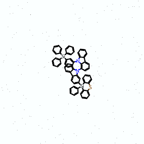 c1ccc([Si](c2ccccc2)(c2ccccc2)c2cccc(-n3c4ccccc4c4cccc(-n5c6ccccc6c6ccc([Si]7(c8ccccc8)c8ccccc8Sc8ccccc87)cc65)c43)c2)cc1